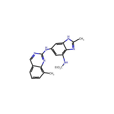 CCOC(=O)Nc1cc(Nc2ncc3cccc(C)c3n2)cc2[nH]c(C)nc12